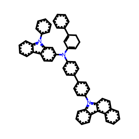 C1=C(c2ccccc2)CCC=C1N(c1ccc(-c2ccc(-n3c4ccccc4c4c5ccccc5ccc43)cc2)cc1)c1ccc2c3ccccc3n(-c3ccccc3)c2c1